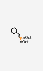 CCCCCCCCP(C=CC1CCCCC1)CCCCCCCC